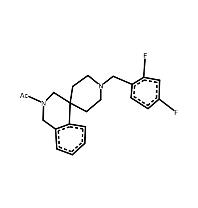 CC(=O)N1Cc2ccccc2C2(CCN(Cc3ccc(F)cc3F)CC2)C1